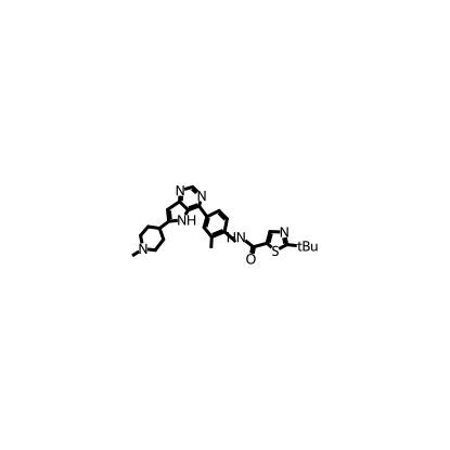 Cc1cc(-c2ncnc3cc(C4CCN(C)CC4)[nH]c23)ccc1CNC(=O)c1cnc(C(C)(C)C)s1